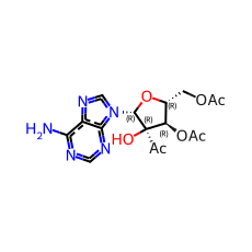 CC(=O)OC[C@H]1O[C@@H](n2cnc3c(N)ncnc32)[C@@](O)(C(C)=O)[C@@H]1OC(C)=O